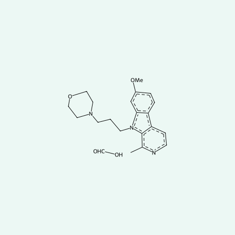 COc1ccc2c3ccnc(C)c3n(CCCN3CCOCC3)c2c1.O=CO